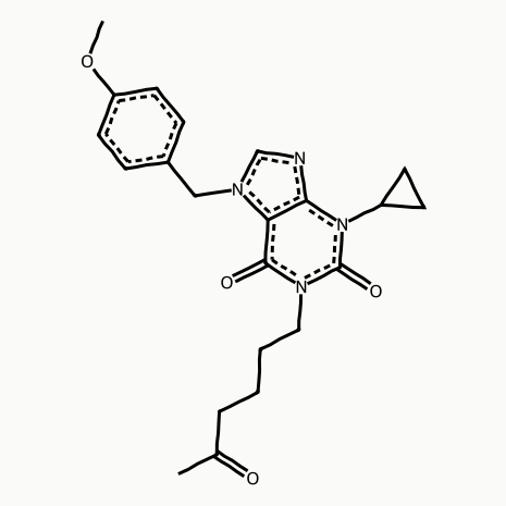 COc1ccc(Cn2cnc3c2c(=O)n(CCCCC(C)=O)c(=O)n3C2CC2)cc1